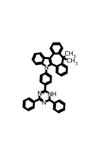 CC1(C)c2ccccc2-c2c(n(-c3ccc(C4=NC(c5ccccc5)=NC(c5ccccc5)N4)cc3)c3ccccc23)-c2ccccc21